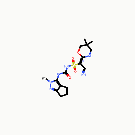 CC(C)n1nc2c(c1NC(=O)NS(=O)(=O)/C(C=N)=C1/NCC(C)(C)CO1)CCC2